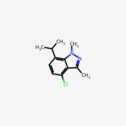 Cc1nn(C)c2c(C(C)C)ccc(Cl)c12